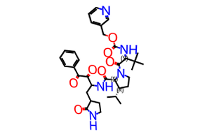 CC(C)[C@H]1CCN(C(=O)[C@@H](NC(=O)OCc2cccnc2)C(C)(C)C)[C@@H]1C(=O)NC(CC1CCNC1=O)C(=O)C(=O)c1ccccc1